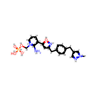 Cn1cc(Cc2ccc(Cc3cc(-c4ccc[n+](COP(=O)([O-])O)c4N)on3)cc2)cn1